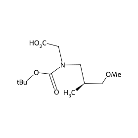 COC[C@@H](C)CN(CC(=O)O)C(=O)OC(C)(C)C